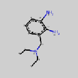 CCN(CC)Cc1cccc(N)c1N